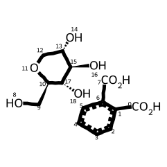 O=C(O)c1ccccc1C(=O)O.OC[C@H]1OC[C@H](O)[C@@H](O)[C@@H]1O